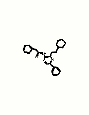 O=C(Cc1ccccc1)Nc1ncc(-c2ccccc2)nc1CCC1CCCCC1